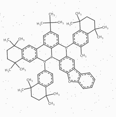 Cc1cc2c(cc1N1c3cc4c(cc3B3c5c(cc(C(C)(C)C)cc51)-c1cc5c(cc1N3c1ccc3c(c1)C(C)(C)CCC3(C)C)C(C)(C)CCC5(C)C)oc1ccccc14)C(C)(C)CCC2(C)C